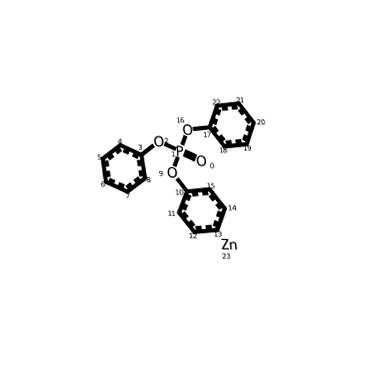 O=P(Oc1ccccc1)(Oc1ccccc1)Oc1ccccc1.[Zn]